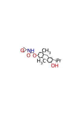 Cc1cc(OCC(=O)NC2COC2)cc(C)c1Cc1ccc(O)c(C(C)C)c1